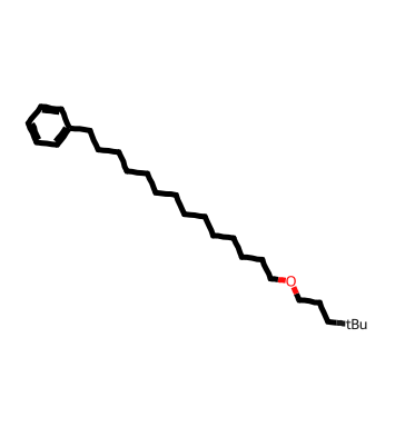 CC(C)(C)CCCOCCCCCCCCCCCCCCc1ccccc1